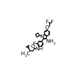 CC(CC(=O)Nc1ccc(-c2c(N)c3ccc(OCC(F)F)cc3n2C2CCC2)cc1F)C1CC1